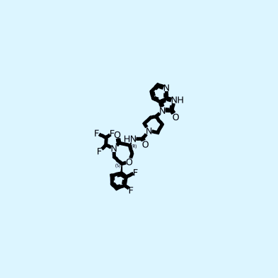 O=C(N[C@@H]1CO[C@@H](c2cccc(F)c2F)CN(C(F)C(F)F)C1=O)N1CCC(n2c(=O)[nH]c3ncccc32)CC1